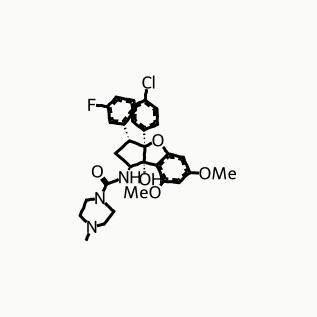 COc1cc(OC)c2c(c1)O[C@]1(c3ccc(Cl)cc3)[C@@H](c3cccc(F)c3)C[C@@H](NC(=O)N3CCN(C)CC3)[C@]21O